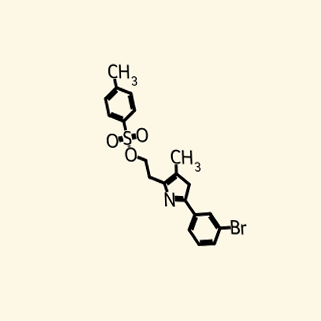 CC1=C(CCOS(=O)(=O)c2ccc(C)cc2)N=C(c2cccc(Br)c2)C1